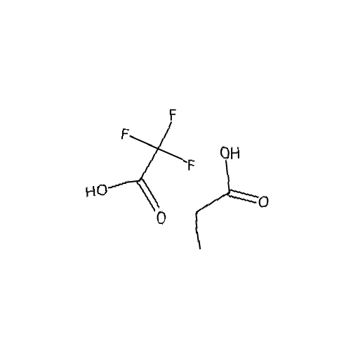 CCC(=O)O.O=C(O)C(F)(F)F